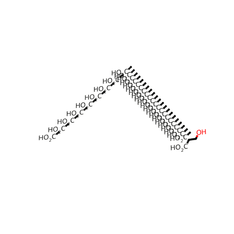 CC(=O)O.CC(=O)O.CC(=O)O.CC(=O)O.CC(=O)O.CC(=O)O.CC(=O)O.CC(=O)O.CC(=O)O.CC(=O)O.CC(=O)O.CC(=O)O.CC(=O)O.CC(=O)O.CC(=O)O.CC(=O)O.CC(=O)O.CC(=O)O.CC(=O)O.CC(=O)O.CC(=O)O.CC(=O)O.CC(=O)O.CC(=O)O.CC(=O)O.CC(=O)O.CC(=O)O.CC(=O)O.CC(=O)O.O=C(O)CCO